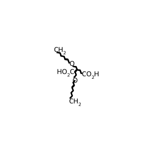 C=CCCCC=CCOCCC(CCC(=O)O)=C(CCOCC=CCCCC=C)C(=O)O